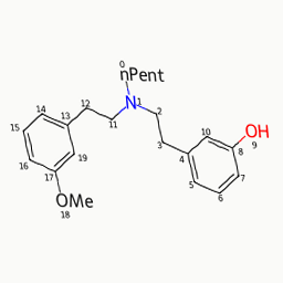 CCCCCN(CCc1cccc(O)c1)CCc1cccc(OC)c1